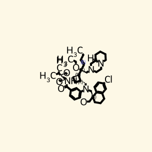 CC/C=C/[C@@](CN1CCN2CCCC[C@@H]2C1)(OCC)[C@@H]1CC[C@H]1CN1C[C@@]2(CCCc3cc(Cl)ccc32)COc2ccc(C(=O)NS(=O)(=O)C(C)C)cc21